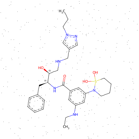 CCCn1cc(CNC[C@H](O)[C@H](Cc2ccccc2)NC(=O)c2cc(NCC)cc(N3CCCCS3(O)O)c2)cn1